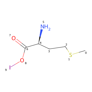 CSCC[C@H](N)C(=O)OI